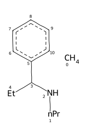 C.CCCNC(CC)c1ccccc1